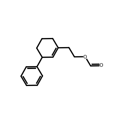 O=COCCC1=CC(c2ccccc2)CCC1